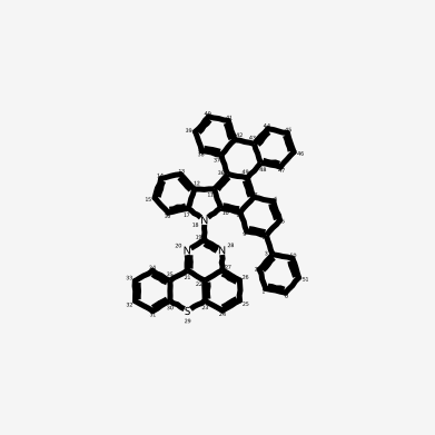 c1ccc(-c2ccc3c(c2)c2c(c4ccccc4n2-c2nc4c5c(cccc5n2)Sc2ccccc2-4)c2c4ccccc4c4ccccc4c32)cc1